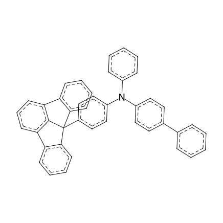 c1ccc(-c2ccc(N(c3ccccc3)c3ccc(C45c6ccccc6-c6cccc(c64)-c4ccccc45)cc3)cc2)cc1